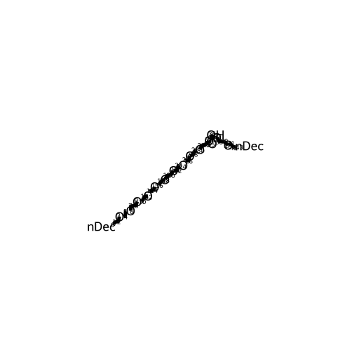 CCCCCCCCCCCCOCCOCCOCCOCCOCCOCCOCCOCCOCCOCCOP(=O)(O)OCCOCCCCCCCCCCCC